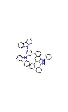 c1ccc(-c2cc3c(-c4cc(-n5c6ccccc6c6ccccc65)cc(-n5c6ccccc6c6ccccc65)c4)cccc3c3c2c(-c2ccccc2)nn3-c2ccccc2)cc1